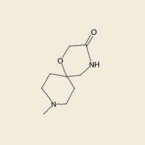 CN1CCC2(CC1)CNC(=O)CO2